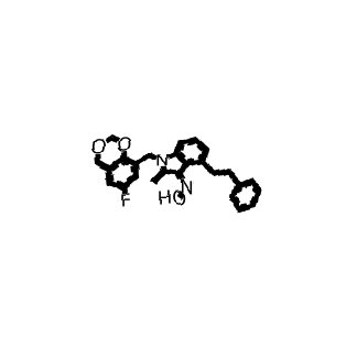 C=C1/C(=N\O)c2c(CCc3ccccc3)cccc2N1Cc1cc(F)cc2c1OCOC2